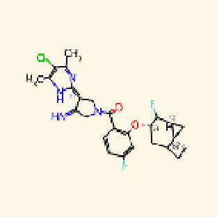 CC1=N/C(=C2\CN(C(=O)c3ccc(F)cc3O[C@H]3CC4CC[C@]45C[C@@H]5C3F)CC2=N)NC(C)=C1Cl